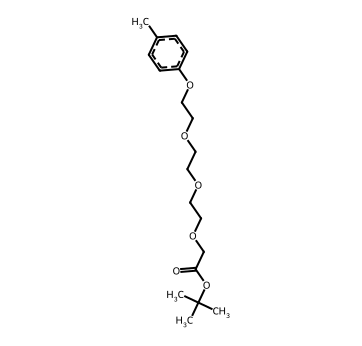 Cc1ccc(OCCOCCOCCOCC(=O)OC(C)(C)C)cc1